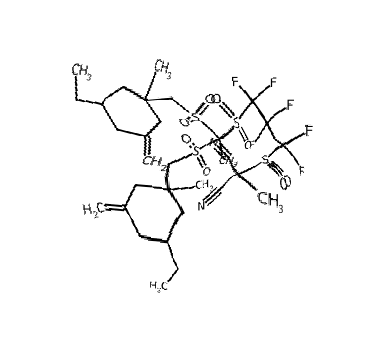 C=C1CC(CC)CC(C)(CS(=O)(=O)C(C)(S(=O)(=O)CC2(C)CC(=C)CC(CC)C2)S(=O)(=O)C(F)(F)C(F)(F)C(F)(F)S(=O)(=O)C(C)(C#N)C#N)C1